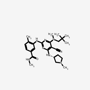 CNC(=O)c1ccc(C)c(Nc2nc(N[C@@H]3CCN(C)C3)c(C#N)c(N(C)CC(C)(C)C)n2)c1